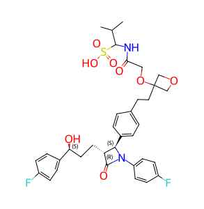 CC(C)C(NC(=O)COC1(CCc2ccc([C@@H]3[C@@H](CC[C@H](O)c4ccc(F)cc4)C(=O)N3c3ccc(F)cc3)cc2)COC1)S(=O)(=O)O